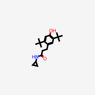 CC(C)(C)c1cc(CCC(=O)NC2CC2)c(C(C)(C)C)cc1O